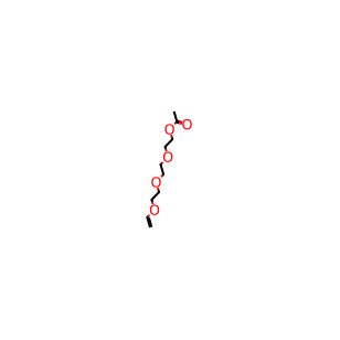 C=COCCOCCOCCOC(C)=O